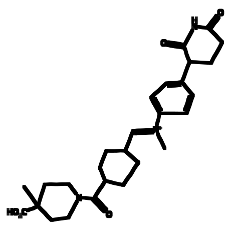 C/[N+](=C\C1CCC(C(=O)N2CCC(C)(C(=O)O)CC2)CC1)c1ccc(C2CCC(=O)NC2=O)cc1